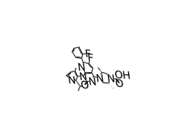 Cc1ccnc(C(C)C)c1-n1c(=O)nc(N2C[C@@H](C)N(C(=O)O)C[C@@H]2C)c2cc(F)c(-c3ccccc3F)nc21